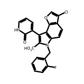 O=C(O)c1c(-c2ccc[nH]c2=O)c2c3occ(Cl)c3ccc2n1Cc1ccccc1F